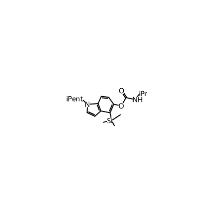 CCCC(C)n1ccc2c([Si](C)(C)C)c(OC(=O)NC(C)C)ccc21